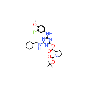 COc1ccc(Nc2nc(NCC3CCCCC3)nc(OC(=O)C3CCCN3C(=O)OC(C)(C)C)n2)cc1F